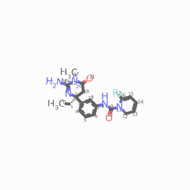 CC[C@@]1(c2cccc(NC(=O)N3CC=CC=C3F)c2)CC(=O)N(C)C(N)=N1